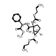 C=CCOC(=O)N[C@@]1(C(=O)N[C@@H](C(=O)OC)c2ccccc2)CC[C@H]2[C@H](C(=O)OCC=C)[C@H]21